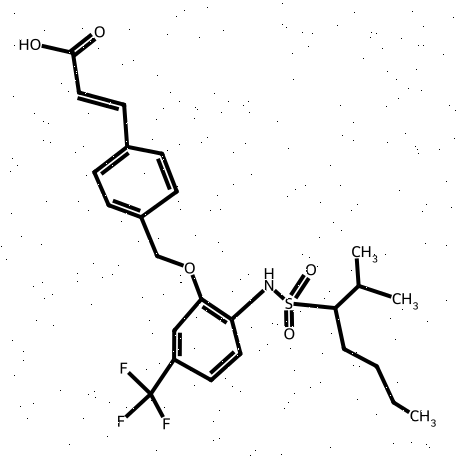 CCCCC(C(C)C)S(=O)(=O)Nc1ccc(C(F)(F)F)cc1OCc1ccc(/C=C/C(=O)O)cc1